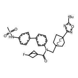 CC(C)(C)c1nc(C23CCC(CN(C(=O)C45CC(F)(C4)C5)c4cccc(-c5ccc(NS(C)(=O)=O)cc5)c4)(CC2)CC3)no1